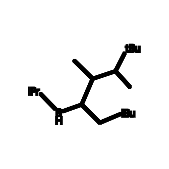 CCC(C)CC(BC(C)C)C(C)C(C)C(C)(C)C